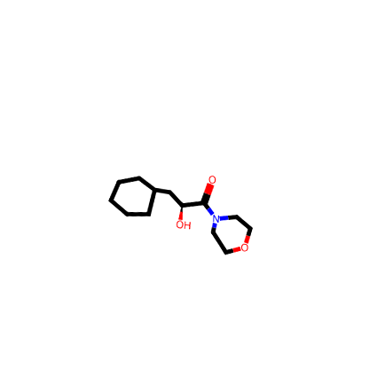 O=C([C@@H](O)CC1CCCCC1)N1CCOCC1